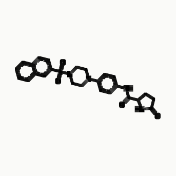 O=C1CCC(C(=O)Nc2ccc(N3CCN(S(=O)(=O)c4ccc5ccccc5c4)CC3)cc2)N1